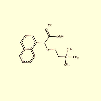 COC(=O)C(OCC[N+](C)(C)C)c1cccc2ccccc12.[Cl-]